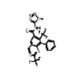 Cn1nnnc1NC(=O)c1cc2cnc(C(F)(F)F)nc2c(-c2ccccc2)c1C(F)(F)F